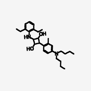 CCCCN(CCCC)c1ccc(C2C(O)C(Nc3c(CC)cccc3CC)C2O)c(C)c1